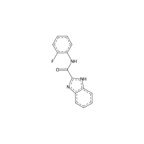 O=C(Nc1ccccc1F)c1nc2ccccc2[nH]1